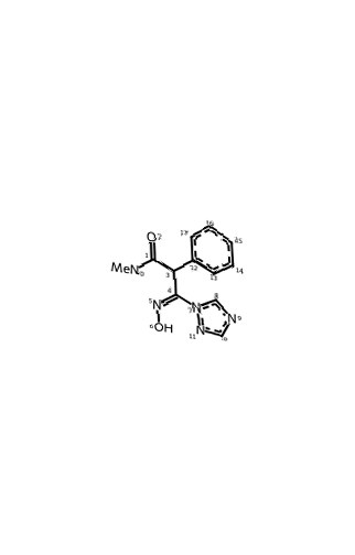 CNC(=O)C(C(=NO)n1cncn1)c1ccccc1